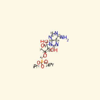 CC(C)OP(=O)(CO[C@H]1COC(O)(n2cnc3c(N)ncnc32)[C@@H]1O)OC(C)C